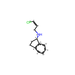 Cl/C=C\CN[C@@H]1CCc2ccccc21